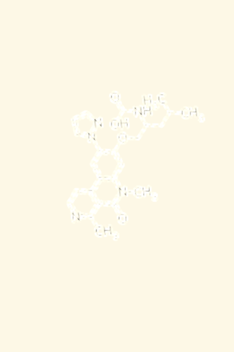 Cc1nccc2c1c(=O)n(C)c1cc(OCC(CC(C)C)NC(=O)O)c(-n3cccn3)cc21